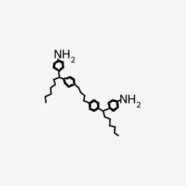 CCCCCCC(c1ccc(N)cc1)c1ccc(CCCCc2ccc(C(CCCCCC)c3ccc(N)cc3)cc2)cc1